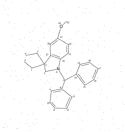 CCC1(CC)CN(C(c2ccccc2)c2ccccc2)c2ccc(OC)cc21